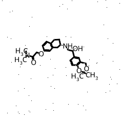 CN(C)C(=O)COc1ccc2c(c1)C[C@@H](NC[C@H](O)c1ccc3c(c1)COC(C)(C)O3)CC2